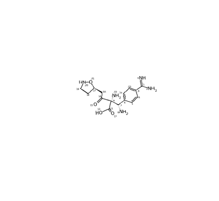 N=C(N)c1ccc([C@H](N)[C@@](N)(C(=O)O)C(=O)C[C@H]2CCNO2)cc1